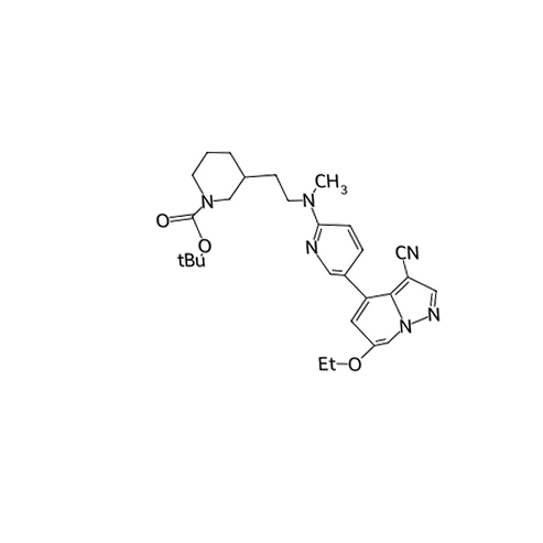 CCOc1cc(-c2ccc(N(C)CCC3CCCN(C(=O)OC(C)(C)C)C3)nc2)c2c(C#N)cnn2c1